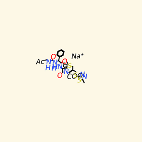 CC(=O)CNC(=O)NC(C(=O)NC1C(=O)N2C(C(=O)[O-])=C(CSc3nnc(C)s3)CS[C@@H]12)c1ccccc1.[Na+]